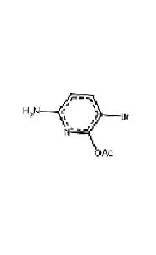 CC(=O)Oc1nc(N)ccc1Br